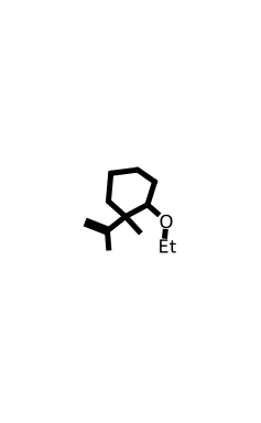 C=C(C)C1(C)CCCCC1OCC